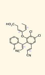 C/C=C\C(=C/CC(=O)O)Oc1c(Cl)c(Cl)cc(/C=C/C#N)c1/C(=C/C#N)c1ccccc1F